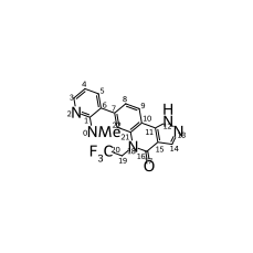 CNc1ncccc1-c1ccc2c3[nH]ncc3c(=O)n(CC(F)(F)F)c2c1